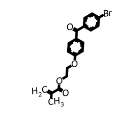 C=C(C)C(=O)OCCOc1ccc(C(=O)c2ccc(Br)cc2)cc1